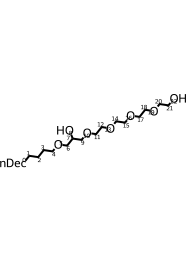 CCCCCCCCCCCCCCOCC(O)COCCOCCOCCOCCO